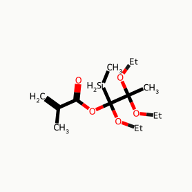 C=C(C)C(=O)OC(OCC)([SiH2]C)C(C)(OCC)OCC